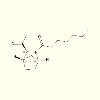 CCCCCCC(=O)N1[C@H]2CC[C@@H](C2)[C@H]1C(C)=O